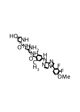 COc1ccc(-c2cnc3c(Nc4ccc(C(=O)NC[C@H](N)CNC(=O)[C@@H]5C[C@@H](O)CN5)c(C)c4)nccn23)c(F)c1F